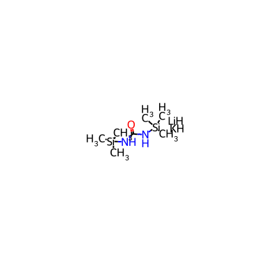 C[Si](C)(C)NC(=O)N[Si](C)(C)C.[KH].[LiH]